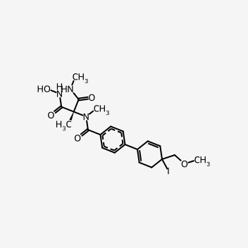 CNC(=O)[C@@](C)(C(=O)NO)N(C)C(=O)c1ccc(C2=CCC(I)(COC)C=C2)cc1